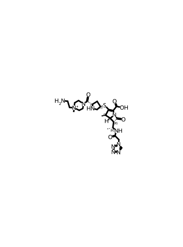 C[C@@H](NC(=O)Cn1cnnn1)[C@H]1C(=O)N2C(C(=O)O)=C(S[C@@H]3CN[C@H](C(=O)N4CC[N+](C)(CCN)CC4)C3)[C@H](C)[C@H]12